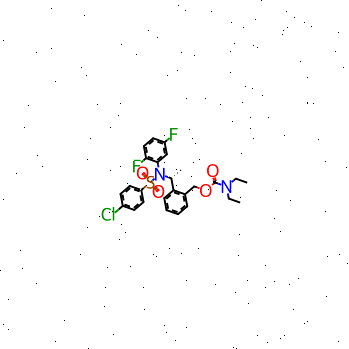 CCN(CC)C(=O)OCc1ccccc1[C@@H](C)N(c1cc(F)ccc1F)S(=O)(=O)c1ccc(Cl)cc1